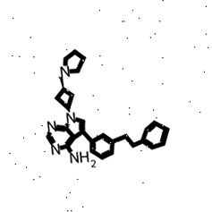 Nc1ncnc2c1c(-c1cccc(CCc3ccccc3)c1)cn2[C@H]1C[C@H](CN2CCCC2)C1